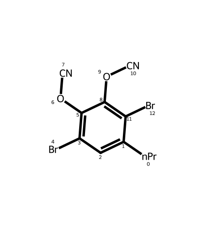 CCCc1cc(Br)c(OC#N)c(OC#N)c1Br